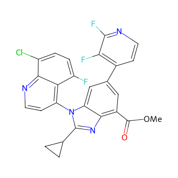 COC(=O)c1cc(-c2ccnc(F)c2F)cc2c1nc(C1CC1)n2-c1ccnc2c(Cl)ccc(F)c12